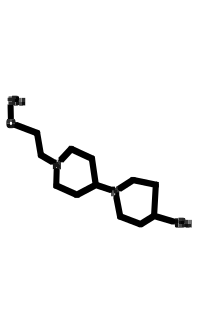 CC(C)(C)OCCN1CCC(N2CCC(C(C)(C)C)CC2)CC1